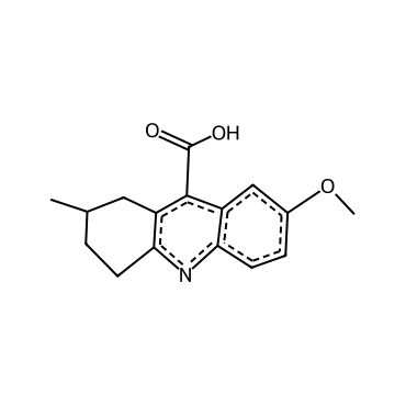 COc1ccc2nc3c(c(C(=O)O)c2c1)CC(C)CC3